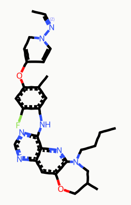 C/C=N\N1C=CC(Oc2cc(F)c(Nc3ncnc4cc5c(nc34)N(CCCC)CC(C)CO5)cc2C)=CC1